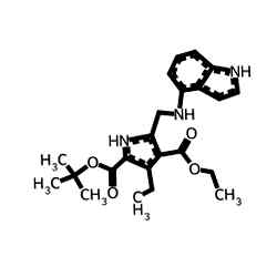 CCOC(=O)c1c(CNc2cccc3[nH]ccc23)[nH]c(C(=O)OC(C)(C)C)c1CC